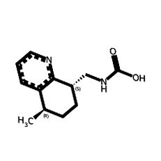 C[C@@H]1CC[C@@H](CNC(=O)O)c2ncccc21